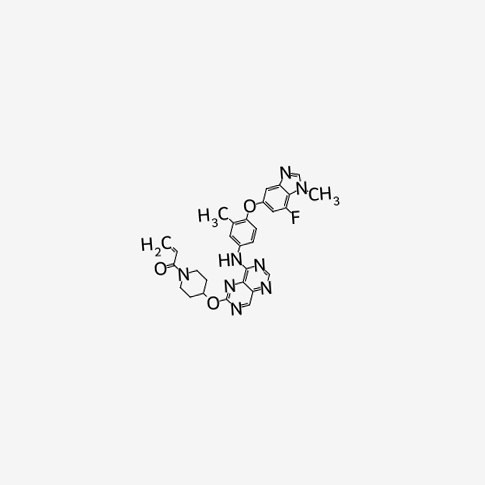 C=CC(=O)N1CCC(Oc2ncc3ncnc(Nc4ccc(Oc5cc(F)c6c(c5)ncn6C)c(C)c4)c3n2)CC1